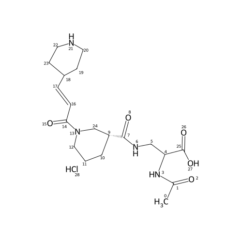 CC(=O)NC(CNC(=O)[C@@H]1CCCN(C(=O)/C=C/C2CCNCC2)C1)C(=O)O.Cl